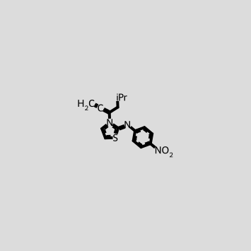 C=C=C(CC(C)C)n1ccsc1=Nc1ccc([N+](=O)[O-])cc1